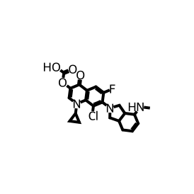 CNC1C=CCC2CN(c3c(F)cc4c(=O)c(OC(=O)O)cn(C5CC5)c4c3Cl)CC21